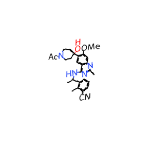 COc1cc2nc(C)nc(NC(C)c3cccc(C#N)c3C)c2cc1C1(O)CCN(C(C)=O)CC1